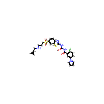 O=C(NC(=O)c1cc(-n2cccc2)ccc1Cl)Nc1nc2ccc(S(=O)(=O)CCCNCC3CC3)cc2s1